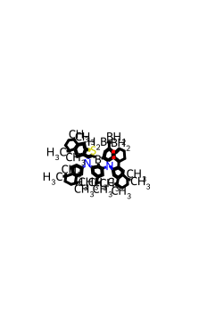 BC(B)(B)c1c#cc2c(c1)B1c3sc4cc5c(cc4c3N(c3ccc4c(c3)C(C)(C)CCC4(C)C)c3cc(C(C)(C)C)cc(c31)N2c1cc2c(cc1C1=CC=CCC1)C(C)(C)CCC2(C)C)C(C)(C)CCC5(C)C